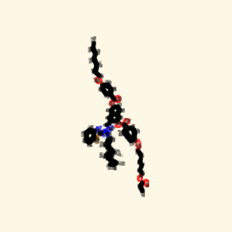 C=CC(=O)OCCCCCCOc1ccc(C(=O)Oc2cc3ccc(OC(=O)c4ccc(OCCCCCCC)cc4)cc3cc2/C=N/N(CCCCCC)c2nc3ccccc3s2)cc1